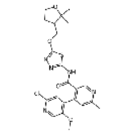 COc1cnc(Cl)cc1-c1cc(C)ncc1C(=O)Nc1nnc(OCC2CCOC2(C)C)s1